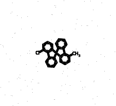 Cc1cccc2c1-c1ccccc1C21c2ccccc2-c2c(Cl)cccc21